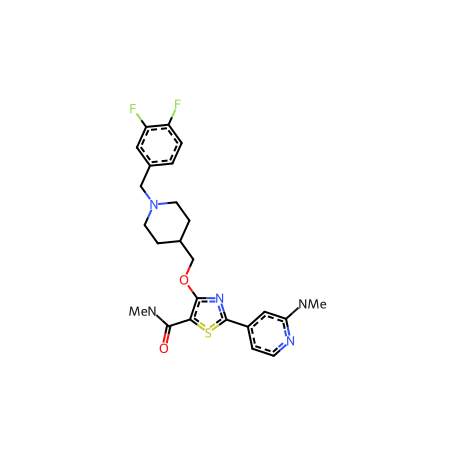 CNC(=O)c1sc(-c2ccnc(NC)c2)nc1OCC1CCN(Cc2ccc(F)c(F)c2)CC1